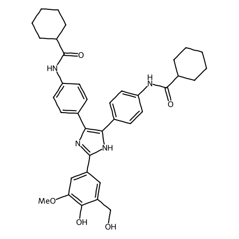 COc1cc(-c2nc(-c3ccc(NC(=O)C4CCCCC4)cc3)c(-c3ccc(NC(=O)C4CCCCC4)cc3)[nH]2)cc(CO)c1O